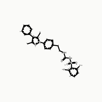 Cc1nn(-c2ccc(CCNC(=O)NS(=O)(=O)c3c(F)cccc3F)cc2)c(C)c1-c1ccccc1